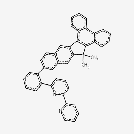 CC1(C)c2cc3cc(-c4ccccc4-c4cccc(-c5ccccn5)n4)ccc3cc2-c2c1c1ccccc1c1ccccc21